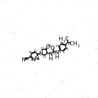 CC(C)c1ccc(NC(=O)N[C@H]2CN(c3ccc(C#N)nn3)CC2=O)cc1